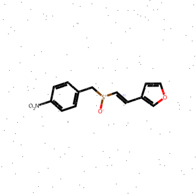 O=[N+]([O-])c1ccc(C[S+]([O-])/C=C/c2ccoc2)cc1